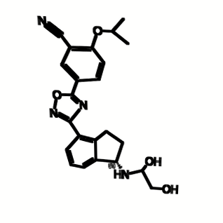 CC(C)Oc1ccc(-c2nc(-c3cccc4c3CC[C@@H]4NC(O)CO)no2)cc1C#N